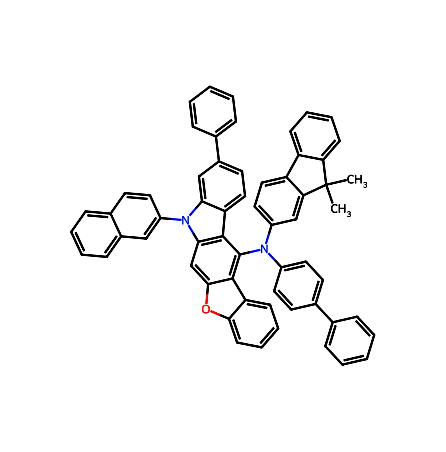 CC1(C)c2ccccc2-c2ccc(N(c3ccc(-c4ccccc4)cc3)c3c4c(cc5c3c3ccc(-c6ccccc6)cc3n5-c3ccc5ccccc5c3)oc3ccccc34)cc21